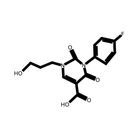 O=C(O)c1cn(CCCO)c(=O)n(-c2ccc(F)cc2)c1=O